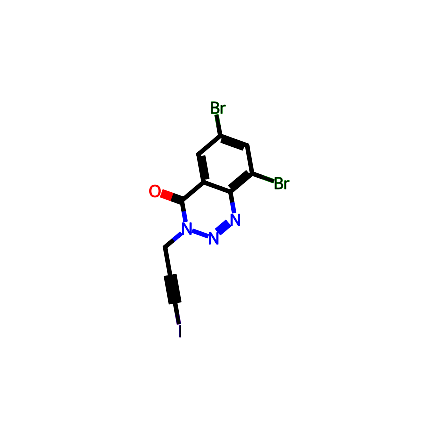 O=c1c2cc(Br)cc(Br)c2nnn1CC#CI